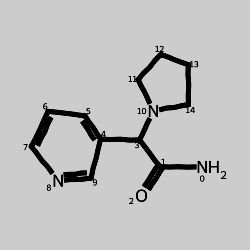 NC(=O)C(c1cccnc1)N1CCCC1